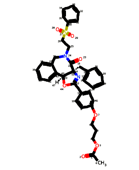 CC(=O)OCCCOc1ccc(C2=N[C@]3(Cc4ccccc4)C(=O)N(CCS(=O)(=O)c4ccccc4)Cc4ccccc4[C@@H]3O2)cc1